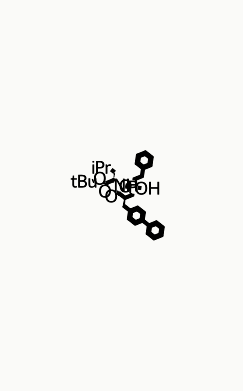 CC(C)C[C@H](NC(=O)[C@H](Cc1ccc(-c2ccccc2)cc1)CP(=O)(O)CCc1ccccc1)C(=O)OC(C)(C)C